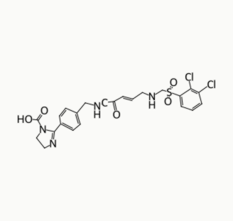 O=C(C=CCNCS(=O)(=O)c1cccc(Cl)c1Cl)CNCc1ccc(C2=NCCN2C(=O)O)cc1